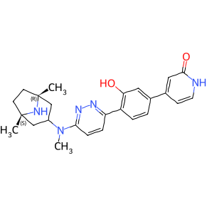 CN(c1ccc(-c2ccc(-c3cc[nH]c(=O)c3)cc2O)nn1)C1C[C@]2(C)CC[C@](C)(C1)N2